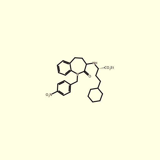 CCOC(=O)[C@H](CCC1CCCCC1)NC1CCc2ccccc2N(Cc2ccc([N+](=O)[O-])cc2)C1=O